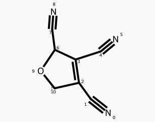 N#CC1=C(C#N)C(C#N)O[C]1